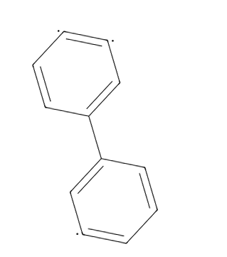 [c]1[c]cc(-c2c[c]ccc2)cc1